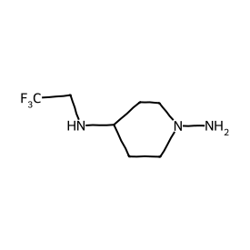 NN1CCC(NCC(F)(F)F)CC1